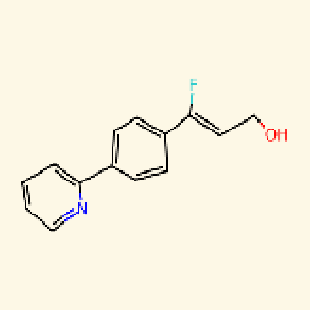 OC/C=C(\F)c1ccc(-c2ccccn2)cc1